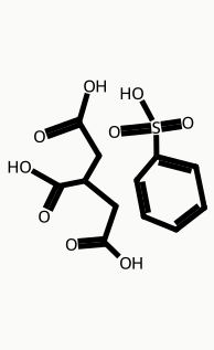 O=C(O)CC(CC(=O)O)C(=O)O.O=S(=O)(O)c1ccccc1